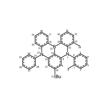 Cc1ccccc1N1c2cc(C(C)(C)C)cc3c2B(c2ccccc2N3c2ccccc2)c2cccc(C)c21